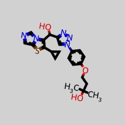 CC(C)(O)CCOc1ccc(-n2cc(C(O)c3c(C4CC4)sc4cncn34)nn2)cc1